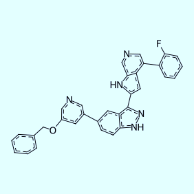 Fc1ccccc1-c1cncc2[nH]c(-c3n[nH]c4ccc(-c5cncc(OCc6ccccc6)c5)cc34)cc12